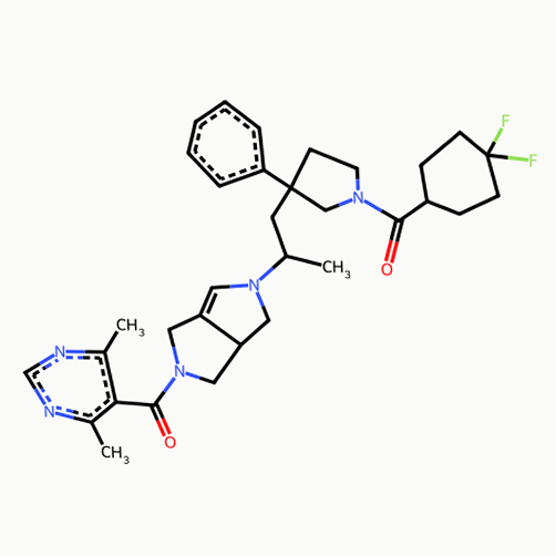 Cc1ncnc(C)c1C(=O)N1CC2=CN(C(C)CC3(c4ccccc4)CCN(C(=O)C4CCC(F)(F)CC4)C3)CC2C1